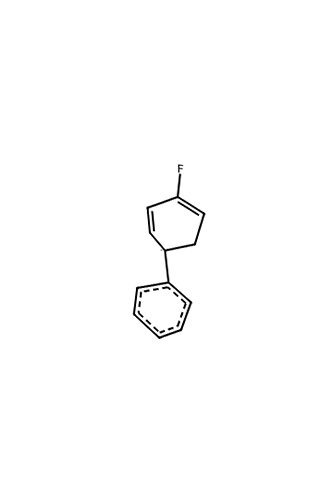 FC1=CC[C](c2ccccc2)C=C1